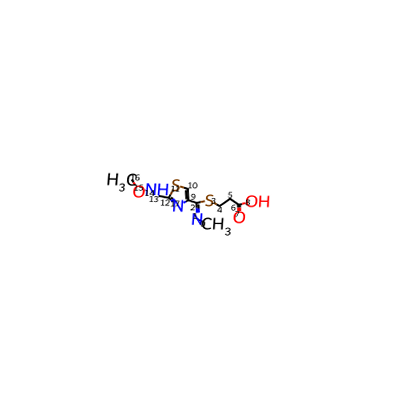 C/N=C(\SCCC(=O)O)c1csc(CNOC)n1